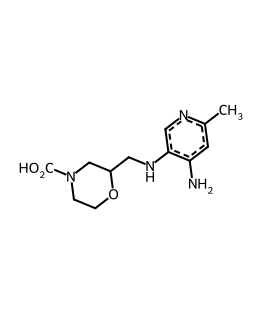 Cc1cc(N)c(NCC2CN(C(=O)O)CCO2)cn1